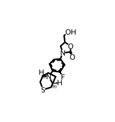 O=C1OC(CO)CN1c1ccc(N2[C@@H]3CC[C@H]2CSC3)c(F)c1